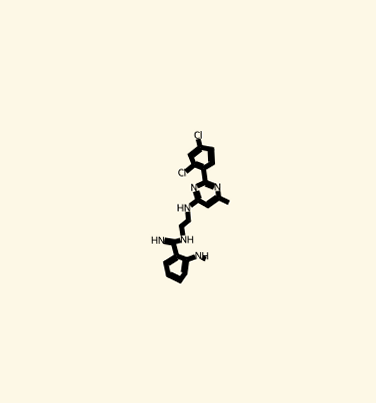 CNc1ccccc1C(=N)NCCNc1cc(C)nc(-c2ccc(Cl)cc2Cl)n1